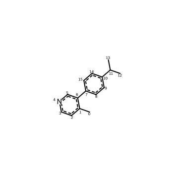 Cc1ccncc1-c1ccc(C(C)C)cc1